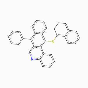 C1=c2ccccc2=C(Sc2c3ccccc3c(-c3ccccc3)c3cnc4ccccc4c23)CC1